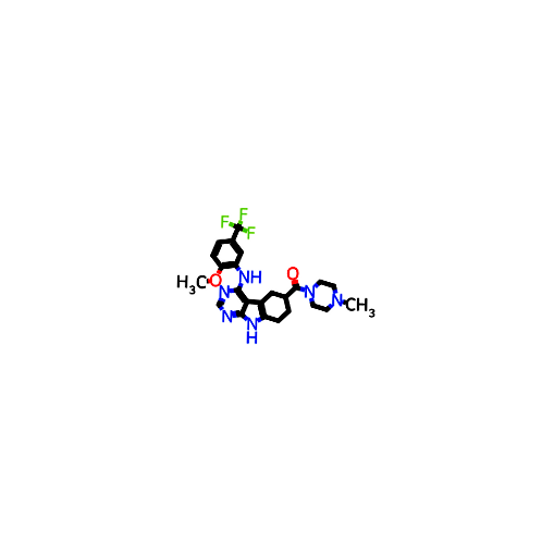 COc1ccc(C(F)(F)F)cc1Nc1ncnc2[nH]c3c(c12)CC(C(=O)N1CCN(C)CC1)CC3